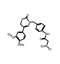 CCOc1cc(C2=NN(Cc3ccc(NC(=O)CN(CC)CC)cc3)C(=O)SC2)ccc1OC